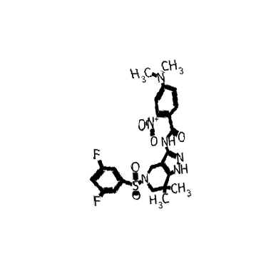 CN(C)c1ccc(C(=O)Nc2n[nH]c3c2CN(S(=O)(=O)c2cc(F)cc(F)c2)CC3(C)C)c([N+](=O)[O-])c1